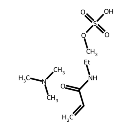 C=CC(=O)NCC.CN(C)C.COS(=O)(=O)O